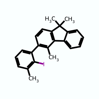 Cc1cccc(-c2ccc3c(c2C)-c2ccccc2C3(C)C)c1I